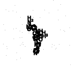 CC(O)(C(=O)Nc1ccc2c(N)noc2c1)C1OCCN(c2ccn(-c3ccncc3)n2)C1=O